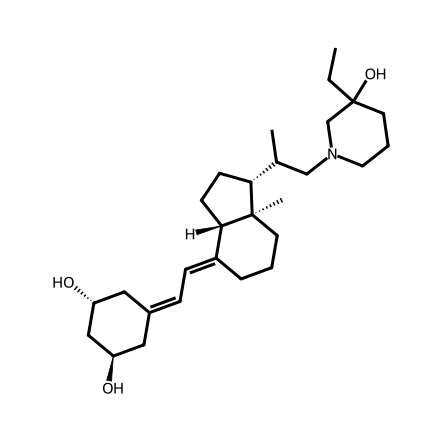 CCC1(O)CCCN(CC(C)[C@H]2CC[C@H]3/C(=C/C=C4C[C@@H](O)C[C@H](O)C4)CCC[C@]23C)C1